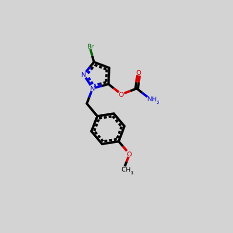 COc1ccc(Cn2nc(Br)cc2OC(N)=O)cc1